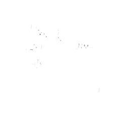 CC[C@@](C=O)(CCCCNC(=O)CC[C@H](NC(=O)CC[C@H](NC(=O)CC[C@H](NC(=O)CCCCCCCCCCCCCCC(=O)O)C(=O)O)C(=O)O)C(=O)O)NC